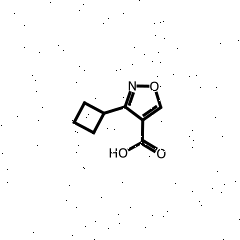 O=C(O)c1conc1C1CCC1